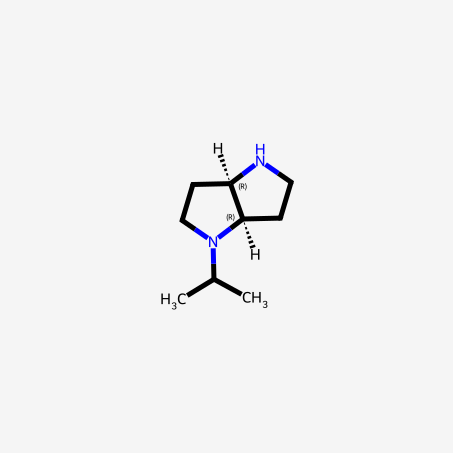 CC(C)N1CC[C@H]2NCC[C@H]21